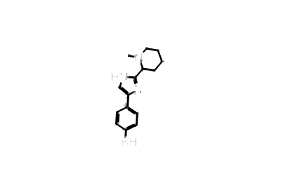 Bc1ccc(-c2c[nH]c(C3CCCCN3C)n2)cc1